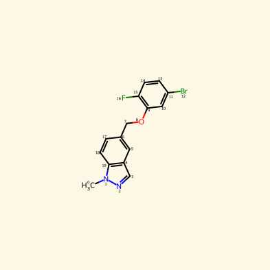 Cn1ncc2cc(COc3cc(Br)ccc3F)ccc21